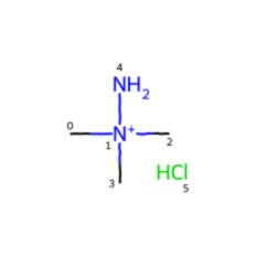 C[N+](C)(C)N.Cl